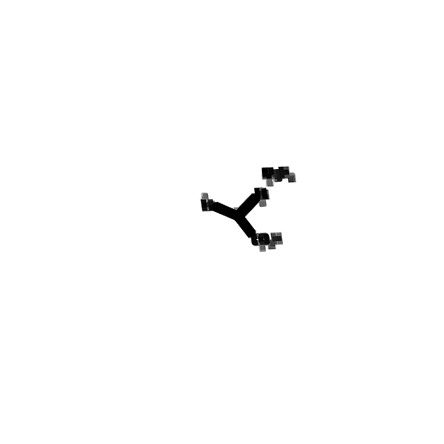 CCC(CC)C(=O)O.[MgH2]